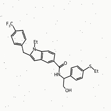 CCSc1ccc(C(CO)NC(=O)c2ccc3c(c2)cc(Cc2ccc(C(F)(F)F)cc2)n3CC)cc1